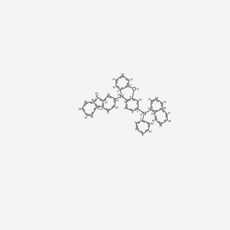 c1ccc(N(c2ccc3c(c2)Oc2ccccc2N3c2ccc3c(c2)sc2ccccc23)c2cccc3ccccc23)cc1